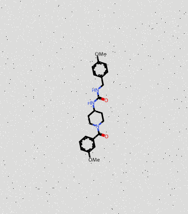 COc1ccc(CNC(=O)NC2CCN(C(=O)c3cccc(OC)c3)CC2)cc1